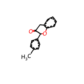 Cc1ccc(C2Oc3ccccc3CC2=O)cc1